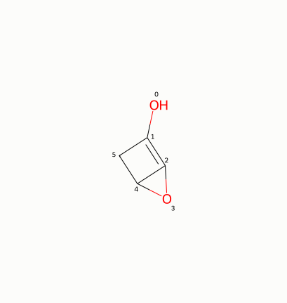 OC1=C2OC2C1